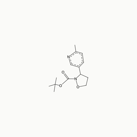 Cc1ccc(C2CCON2C(=O)OC(C)(C)C)cn1